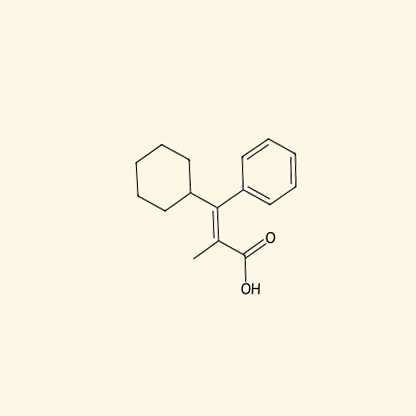 CC(C(=O)O)=C(c1ccccc1)C1CCCCC1